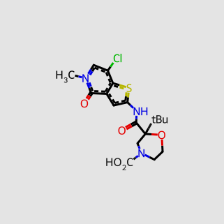 Cn1cc(Cl)c2sc(NC(=O)C3(C(C)(C)C)CN(C(=O)O)CCO3)cc2c1=O